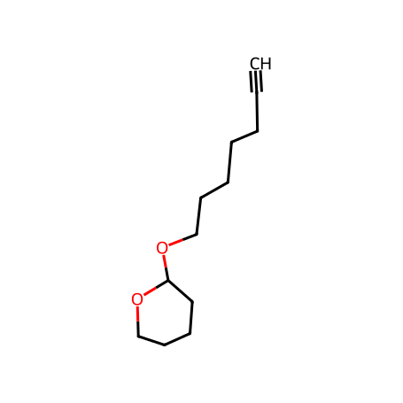 C#CCCCCCOC1CCCCO1